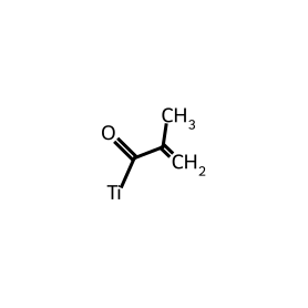 C=C(C)[C](=O)[Ti]